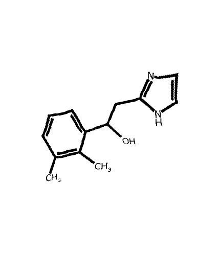 Cc1cccc(C(O)Cc2ncc[nH]2)c1C